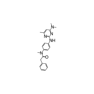 Cc1cc(N(C)C)nc(Nc2ccc(N(C)C(=O)Cc3ccccc3)cc2)n1